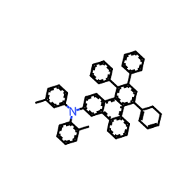 Cc1cccc(N(c2ccc3c(c2)c2ccccc2c2c(C4=CC=CCC4)cc(-c4ccccc4)c(-c4ccccc4)c32)c2ccccc2C)c1